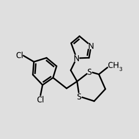 CC1CCSC(Cc2ccc(Cl)cc2Cl)(Cn2ccnc2)S1